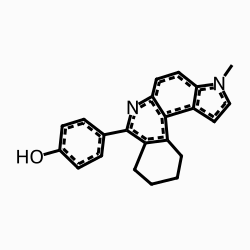 Cn1ccc2c3c4c(c(-c5ccc(O)cc5)nc3ccc21)CCCC4